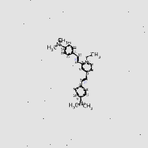 CC[n+]1ccc(/C=C/c2ccc(N(C)C)cc2)cc1/C=C/c1ccc(N(C)C)cc1